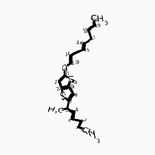 CC[CH]CCC(C)c1cc2sc(OCCCCCCCC)cc2s1